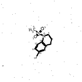 CS(=O)(=O)N1CCCc2cc(I)ccc21